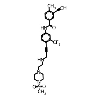 C#Cc1cc(C(=O)Nc2ccc(C#CCNCCN3CCN(S(C)(=O)=O)CC3)c(C(F)(F)F)c2)ccc1C